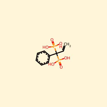 C=CC(c1ccccc1)(P(=O)(O)O)P(=O)(O)O